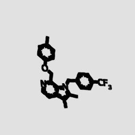 Cc1ccc(OCc2nccc3c(C)c(C)n(Cc4ccc(C(F)(F)F)cc4)c23)cc1